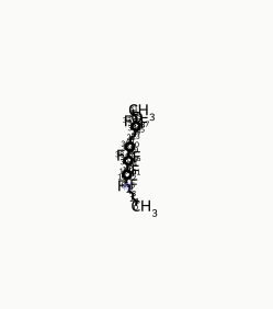 CCCCC/C(F)=C(\F)c1ccc(-c2cc(F)c(-c3ccc(CCc4cc(F)c(OCC)c(F)c4)cc3)c(F)c2)c(F)c1